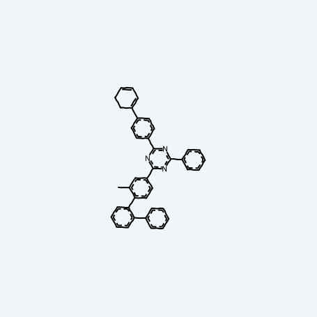 Cc1cc(-c2nc(-c3ccccc3)nc(-c3ccc(C4=CC=CCC4)cc3)n2)ccc1-c1ccccc1-c1ccccc1